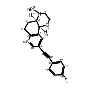 CCCN1CCO[C@H]2c3cc(C#Cc4ccc(F)cc4)cnc3CC[C@H]21